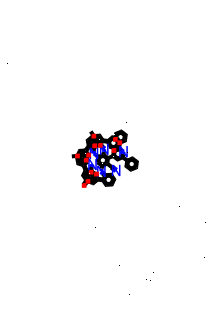 Cc1ccc2c(c1)c1ccccc1n2-c1c(C#N)c(-c2cc(-c3ccccc3)nc(-c3ccccc3)c2)c(-n2c3ccccc3c3cc(C)ccc32)c(-n2c3ccccc3c3cc(C)ccc32)c1-n1c2ccccc2c2cc(C)ccc21